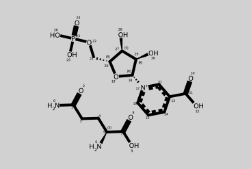 NC(=O)CC[C@H](N)C(=O)O.O=C(O)c1ccc[n+]([C@@H]2O[C@H](COP(=O)(O)O)[C@@H](O)[C@H]2O)c1